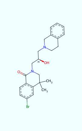 CC1(C)CN(C[C@H](O)CN2CCc3ccccc3C2)C(=O)c2ccc(Br)cc21